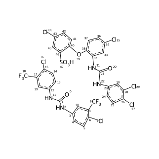 O=C(Nc1ccc(Cl)c(C(F)(F)F)c1)Nc1ccc(Cl)c(C(F)(F)F)c1.O=C(Nc1ccc(Cl)c(Cl)c1)Nc1cc(Cl)ccc1Oc1ccc(Cl)cc1S(=O)(=O)O